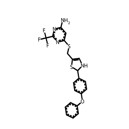 Nc1cc(SCC2=CNC(c3ccc(Oc4ccccc4)cc3)S2)nc(C(F)(F)F)n1